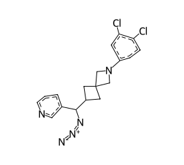 [N-]=[N+]=NC(c1cccnc1)C1CC2(C1)CN(c1ccc(Cl)c(Cl)c1)C2